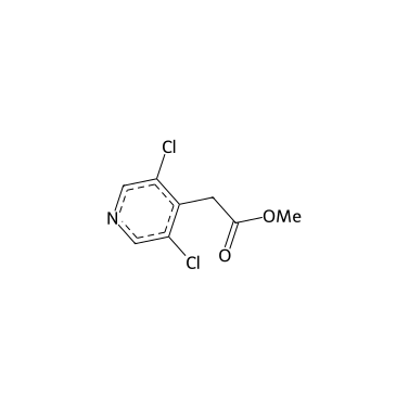 COC(=O)Cc1c(Cl)cncc1Cl